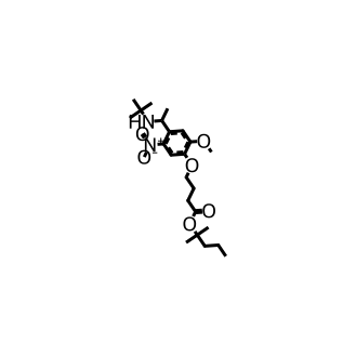 CCCC(C)(C)OC(=O)CCCOc1cc([N+](=O)[O-])c(C(C)NC(C)(C)C)cc1OC